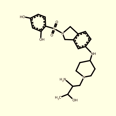 CC(O)C(N)CN1CCC(Nc2ccc3c(c2)CN(S(=O)(=O)c2ccc(O)cc2O)C3)CC1